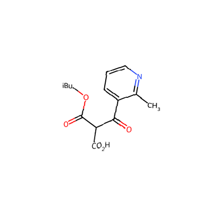 CCC(C)OC(=O)C(C(=O)O)C(=O)c1cccnc1C